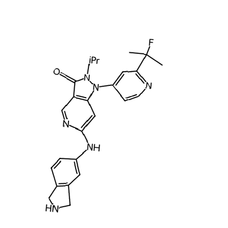 CC(C)n1c(=O)c2cnc(Nc3ccc4c(c3)CNC4)cc2n1-c1ccnc(C(C)(C)F)c1